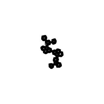 c1ccc(-c2cc(-c3ccccc3)nc(-n3c4cccc5ccc6cc(-c7cc8ccc9cccc%10c9c8c(c7)n%10-c7ccc8c(c7)c7ccccc7n8-c7ccccc7)cc3c6c54)c2)cc1